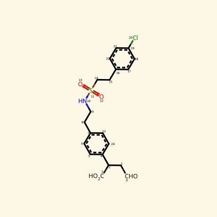 O=CCC(C(=O)O)c1ccc(CCNS(=O)(=O)CCc2ccc(Cl)cc2)cc1